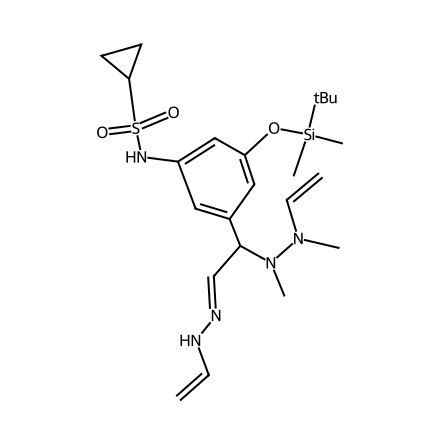 C=CNN=CC(c1cc(NS(=O)(=O)C2CC2)cc(O[Si](C)(C)C(C)(C)C)c1)N(C)N(C)C=C